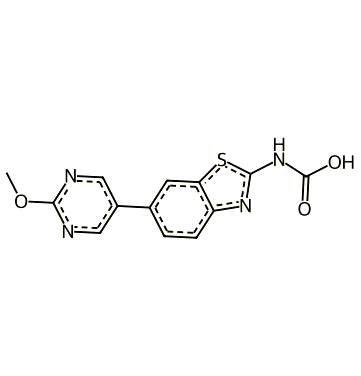 COc1ncc(-c2ccc3nc(NC(=O)O)sc3c2)cn1